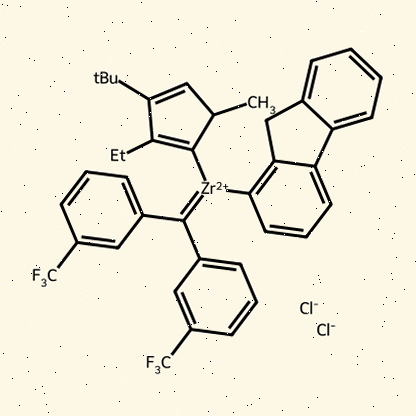 CCC1=[C]([Zr+2](=[C](c2cccc(C(F)(F)F)c2)c2cccc(C(F)(F)F)c2)[c]2cccc3c2Cc2ccccc2-3)C(C)C=C1C(C)(C)C.[Cl-].[Cl-]